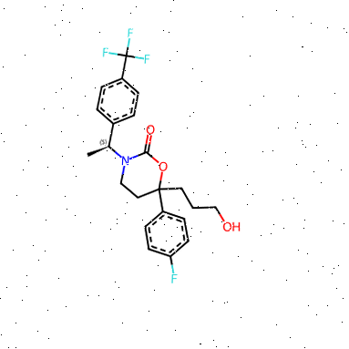 C[C@@H](c1ccc(C(F)(F)F)cc1)N1CCC(CCCO)(c2ccc(F)cc2)OC1=O